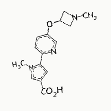 CN1CC(Oc2ccc(-c3cc(C(=O)O)cn3C)nc2)C1